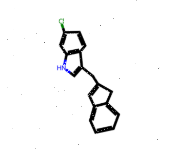 Clc1ccc2c(CC3=Cc4ccccc4C3)c[nH]c2c1